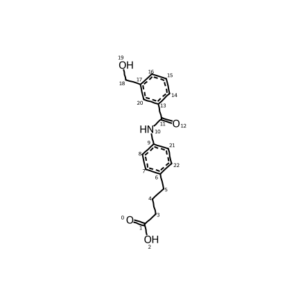 O=C(O)CCCc1ccc(NC(=O)c2cccc(CO)c2)cc1